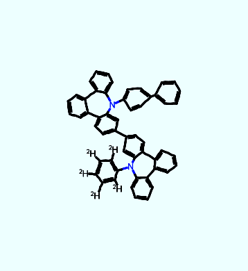 [2H]c1c([2H])c([2H])c(N2c3ccccc3-c3ccccc3-c3ccc(-c4ccc5c(c4)N(c4ccc(-c6ccccc6)cc4)c4ccccc4-c4ccccc4-5)cc32)c([2H])c1[2H]